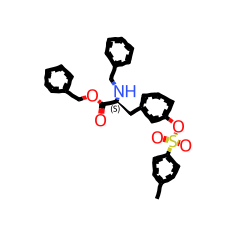 Cc1ccc(S(=O)(=O)Oc2cccc(C[C@H](NCc3ccccc3)C(=O)OCc3ccccc3)c2)cc1